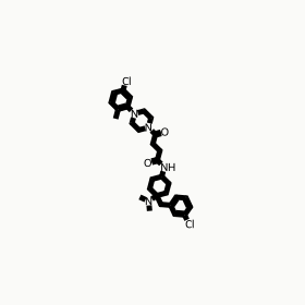 Cc1ccc(Cl)cc1N1CCN(C(=O)CCC(=O)NC2CCC(Cc3cccc(Cl)c3)(N(C)C)CC2)CC1